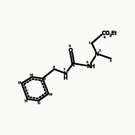 CCOC(=O)CN(C)NC(=O)NCc1ccccc1